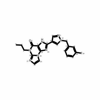 CCCn1c(=O)c2[nH]c(-c3cnn(Cc4cccc(F)c4)c3)nc2n2ccnc12